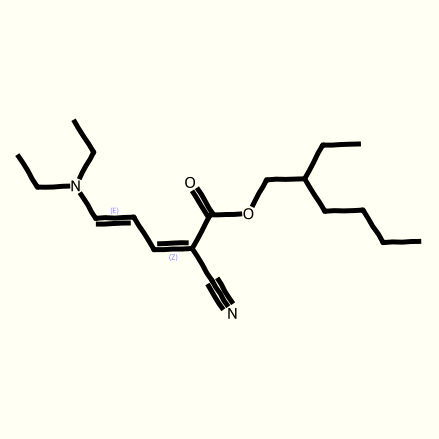 CCCCC(CC)COC(=O)/C(C#N)=C\C=C\N(CC)CC